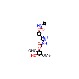 COc1cc(O)c(C=O)c(OCC(=O)Nc2cc(C3CCC(OC(=O)NC45CC(C4)C5)C3)[nH]n2)c1